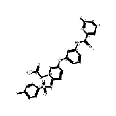 Cc1ccc(S(=O)(=O)N=c2ccc(Oc3cccc(NC(=O)c4cccc(C)n4)c3)cn2CC(N)=O)cc1